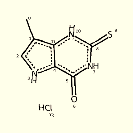 Cc1c[nH]c2c(=O)[nH]c(=S)[nH]c12.Cl